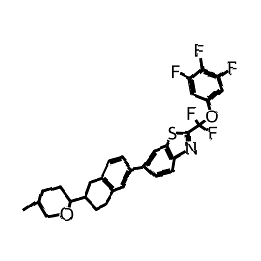 CC1CCC(C2CCc3cc(-c4ccc5nc(C(F)(F)Oc6cc(F)c(F)c(F)c6)sc5c4)ccc3C2)OC1